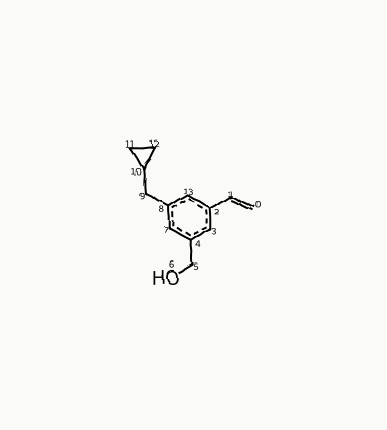 C=Cc1cc(CO)cc(CC2CC2)c1